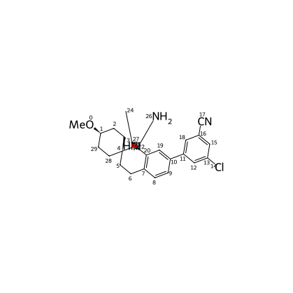 CO[C@H]1CC[C@@]2(CCc3ccc(-c4cc(Cl)cc(C#N)c4)cc3C23N=C(C)C(N)N3)CC1